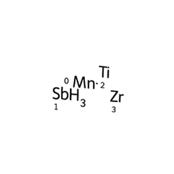 [Mn].[SbH3].[Ti].[Zr]